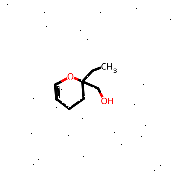 CCC1(CO)CCC=CO1